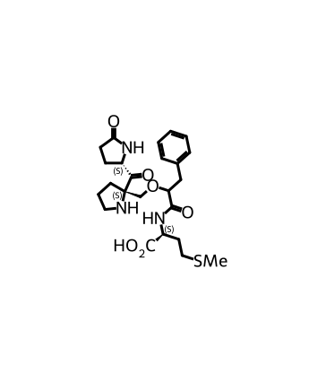 CSCC[C@H](NC(=O)C(Cc1ccccc1)OC[C@]1(C(=O)[C@@H]2CCC(=O)N2)CCCN1)C(=O)O